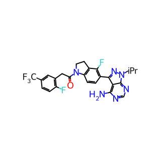 CC(C)n1nc(-c2ccc3c(c2F)CCN3C(=O)Cc2cc(C(F)(F)F)ccc2F)c2c(N)ncnc21